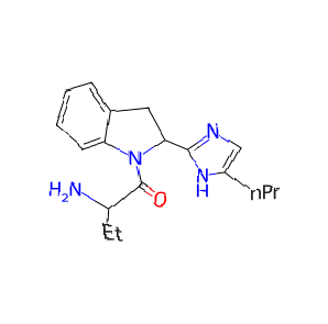 CCCc1cnc(C2Cc3ccccc3N2C(=O)C(N)CC)[nH]1